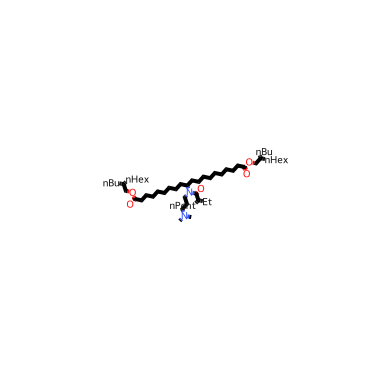 CCCCCCC(CCCC)COC(=O)CCCCCCCCCC(CCCCCCCCC(=O)OCC(CCCC)CCCCCC)N(CCCN(C)C)C(=O)C(CC)CCCCC